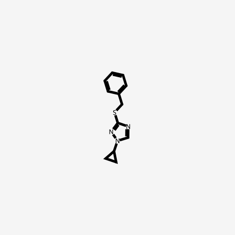 c1ccc(CSc2ncn(C3CC3)n2)cc1